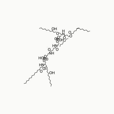 CCCCCC/C=C\CCCC(=O)O[C@H](CCCCCCC)CC(=O)NC(COCC[C@H](O)CCCCCCC)COP(=O)(O)OCCNC(=O)CCC(=O)NCCOP(=O)(O)OCC(COCC[C@H](O)CCCCCCC)NC(=O)CC(=O)CCCCCCCCCCC